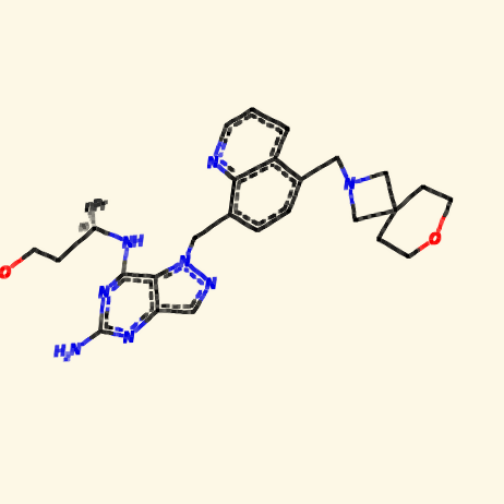 CCC[C@@H](CCO)Nc1nc(N)nc2cnn(Cc3ccc(CN4CC5(CCOCC5)C4)c4cccnc34)c12